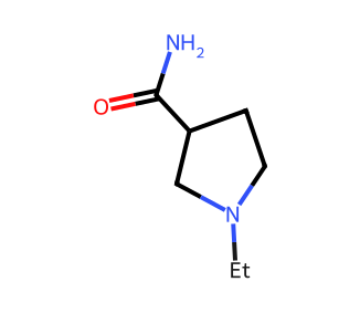 CCN1CCC(C(N)=O)C1